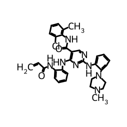 C=CC(=O)Nc1ccccc1Nc1nc(Nc2ccccc2N2CCN(C)CC2)ncc1C(=O)Nc1c(C)cccc1Cl